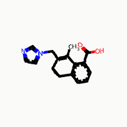 CC1=C(Cn2ccnc2)CCc2cccc(C(=O)O)c21